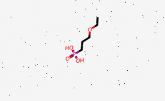 CCOCCCP(=O)(O)O